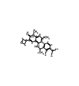 Cc1nc(NC(C)c2cccc(C(F)F)c2F)c2cc(C3COC3)c(=O)n(C)c2n1